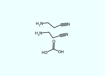 N#CCCN.N#CCCN.O=C(O)O